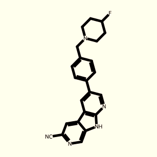 N#Cc1cc2c(cn1)[nH]c1ncc(-c3ccc(CN4CCC(F)CC4)cc3)cc12